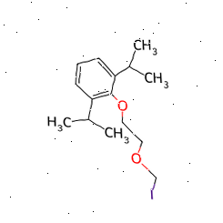 CC(C)c1cccc(C(C)C)c1OCCOCI